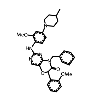 COc1cc(N2CCC(C)CC2)ccc1Nc1ncc2c(n1)N(Cc1ccccc1)C(=O)C(c1ccccc1OC)O2